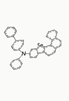 c1ccc(-c2ccc(N(c3ccccc3)c3ccc4c(c3)[se]c3c4ccc4ccc5ccccc5c43)cc2)cc1